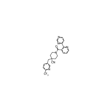 N#CC1(Cc2ccc(C(F)(F)F)nc2)CCN(C(=O)c2cccnc2-c2ccncn2)CC1